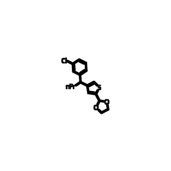 CCCC(c1cccc(Cl)c1)c1csc(C2OCCO2)c1